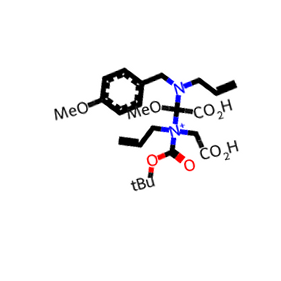 C=CCN(Cc1ccc(OC)cc1)C(OC)(C(=O)O)[N+](CC=C)(CC(=O)O)C(=O)OC(C)(C)C